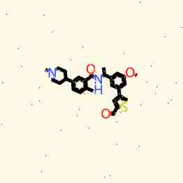 COc1cc(-c2csc(C=O)c2)cc(C(C)NC(=O)c2cc(C3CCN(C)CC3)ccc2C)c1